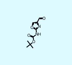 CC(C)(C)OC(=O)Nc1nc(C=O)co1